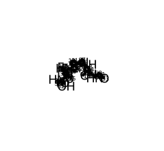 COc1cc(-c2nccc(-c3cccc4c3CCC[C@H]4Nc3nc(OC)c(CNC4(C(=O)O)CC4)cc3C(F)(F)F)c2Cl)ccc1CNC[C@H]1CCC(=O)N1